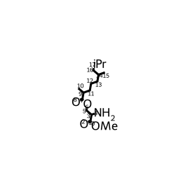 COC(=O)C(N)COC(=O)C(C)CCCC(C)CC(C)C